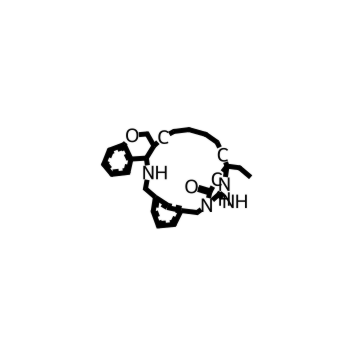 CCC12CCCCCCC3COc4ccccc4C3NCc3cccc(c3)CN(C(=N)N1)C(=O)C2